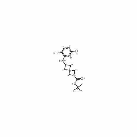 CC(C)(C)OC(=O)N1CC2(CC(Nc3nc(Cl)ncc3F)C2)C1